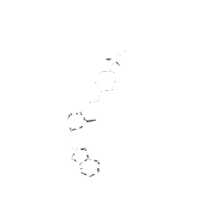 CN(C)S(=O)(=O)N1CCC(COc2coc(Cn3cc4ccccc4c3)cc2=O)CC1